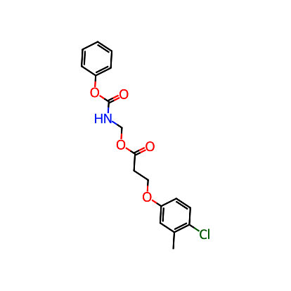 Cc1cc(OCCC(=O)OCNC(=O)Oc2ccccc2)ccc1Cl